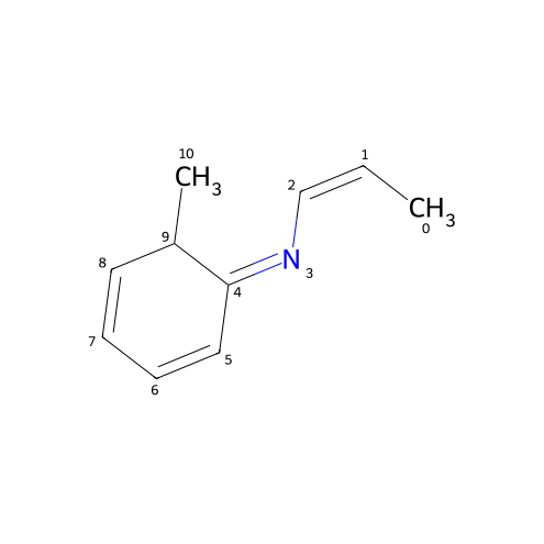 C/C=C\N=C1\C=CC=CC1C